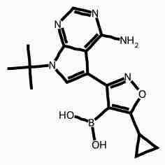 CC(C)(C)n1cc(-c2noc(C3CC3)c2B(O)O)c2c(N)ncnc21